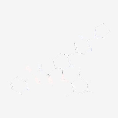 Cc1cc(C)c(Oc2nc(-c3cnc(N4CCCC4)nc3)ccc2C(=O)NS(=O)(=O)c2ccccn2)c(C)c1